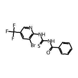 O=C(NC(=S)Nc1ncc(C(F)(F)F)cc1Br)c1ccccc1